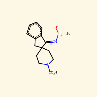 CC(C)(C)[S@@+]([O-])/N=C1\c2ccccc2CC12CCN(C(=O)O)CC2